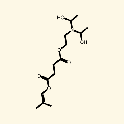 CC(C)=COC(=O)CCC(=O)OCCN(C(C)O)C(C)O